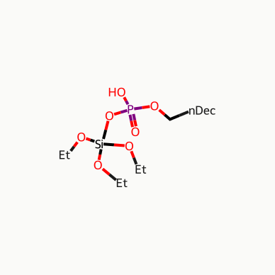 CCCCCCCCCCCOP(=O)(O)O[Si](OCC)(OCC)OCC